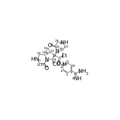 CCC(Oc1ccc(C(=N)N)cc1)C(C1CC1)(C(C(=O)O)N1CCNCC1=O)N1CCNCC1=O